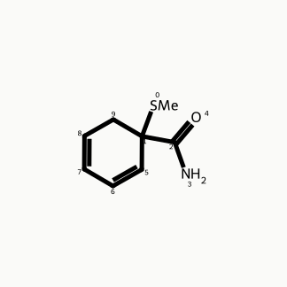 CSC1(C(N)=O)C=CC=CC1